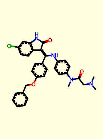 CN(C)CC(=O)N(C)c1ccc(N/C(=C2\C(=O)Nc3cc(Cl)ccc32)c2ccc(OCc3ccccc3)cc2)cc1